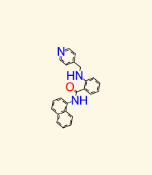 O=C(Nc1cccc2ccccc12)c1ccccc1NCc1ccncc1